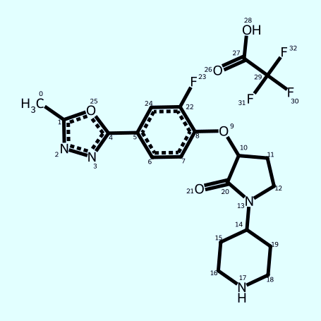 Cc1nnc(-c2ccc(OC3CCN(C4CCNCC4)C3=O)c(F)c2)o1.O=C(O)C(F)(F)F